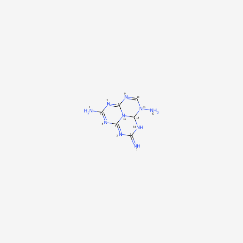 N=C1N=C2N=C(N)N=C3N=CN(N)C(N1)N23